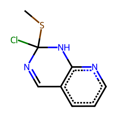 CSC1(Cl)N=Cc2cccnc2N1